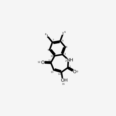 O=c1[nH]c2cc(I)c(I)cc2c(=O)cc1O